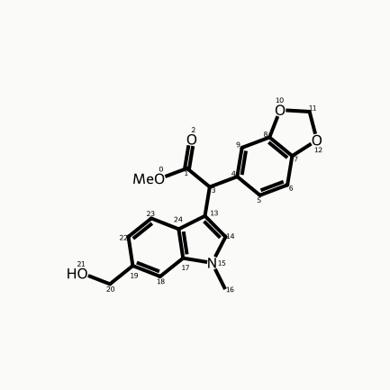 COC(=O)C(c1ccc2c(c1)OCO2)c1cn(C)c2cc(CO)ccc12